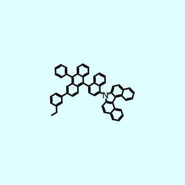 CCc1cccc(-c2ccc3c(-c4ccc(-n5c6ccc7ccccc7c6c6c7ccccc7ccc65)c5ccccc45)c4ccccc4c(-c4ccccc4)c3c2)c1